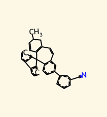 CC1C=CC2=C(C=Cc3cc(-c4cccc(C#N)c4)ccc3C23c2ccccc2-c2ccccc23)C1